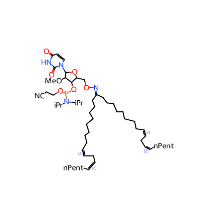 CCCCC/C=C\C/C=C\CCCCCCCCC(CCCCCCCC/C=C\C/C=C\CCCCC)=NOCC1OC(n2ccc(=O)[nH]c2=O)C(OC)C1OP(OCCC#N)N(C(C)C)C(C)C